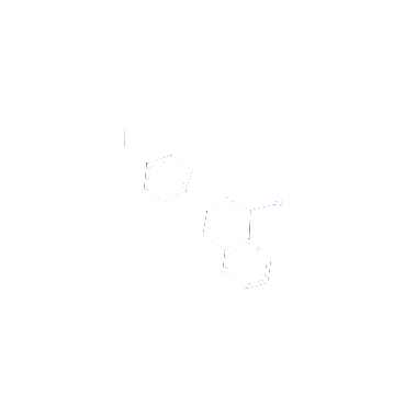 COc1ccc(C2Cc3ccccc3C(N)=N2)cc1